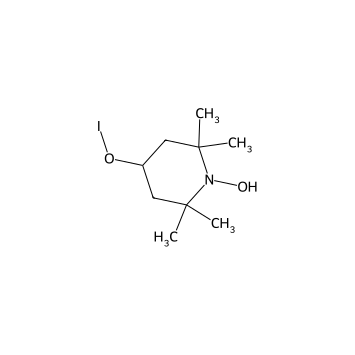 CC1(C)CC(OI)CC(C)(C)N1O